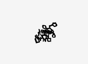 CN1CCCN1c1nc(Cl)nc(NNC(=O)[C@@H](CC2CCCC2)CN(O)C=O)c1F